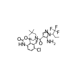 CCC(n1ncc(C(=O)N2CC(C)(C)C[C@@]3(C2)OC(=O)Nc2ccc(Cl)c(F)c23)c1N)C(F)(F)F